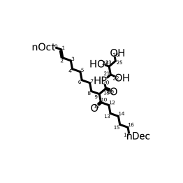 CCCCCCCCC=CCCCCCCC(C(=O)CCCCCCCCCCCCCCC)C(=O)PC(O)C(O)CO